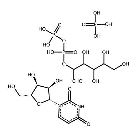 O=CC(OP(=O)(O)OP(=O)(O)O)C(O)C(O)C(O)CO.O=P(O)(O)O.O=c1ccn([C@@H]2O[C@H](CO)[C@@H](O)[C@H]2O)c(=O)[nH]1